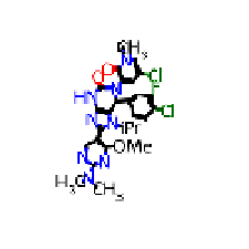 COc1nc(N(C)C)ncc1-c1nc2c(n1C(C)C)C(c1ccc(Cl)c(F)c1)N(c1cc(Cl)cn(C)c1=O)C(=O)N2